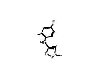 Cc1cc(F)ccc1Nc1cn(C)nn1